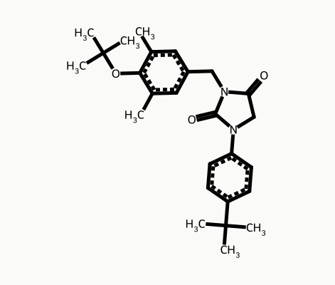 Cc1cc(CN2C(=O)CN(c3ccc(C(C)(C)C)cc3)C2=O)cc(C)c1OC(C)(C)C